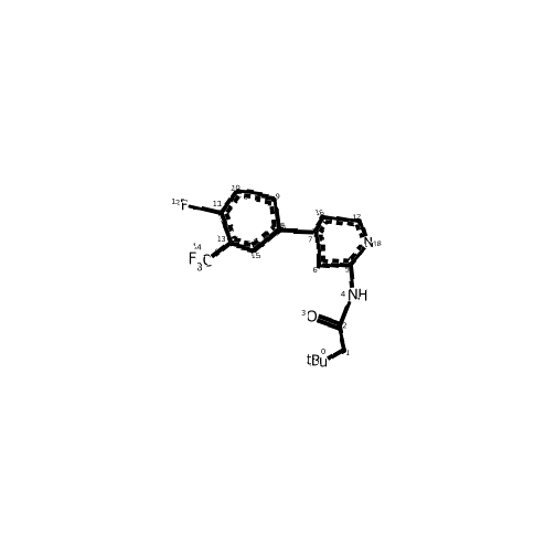 CC(C)(C)CC(=O)Nc1cc(-c2ccc(F)c(C(F)(F)F)c2)ccn1